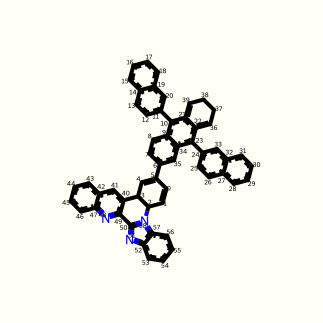 C1=CC2C(C=C1c1ccc3c(-c4ccc5ccccc5c4)c4c(c(-c5ccc6ccccc6c5)c3c1)=CCCC=4)c1cc3ccccc3nc1-c1nc3ccccc3n12